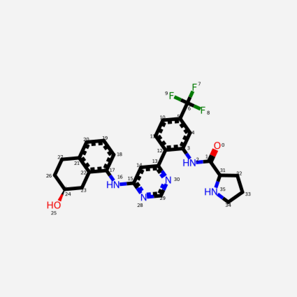 O=C(Nc1cc(C(F)(F)F)ccc1-c1cc(Nc2cccc3c2C[C@@H](O)CC3)ncn1)C1CCCN1